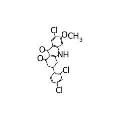 COc1cc2[nH]c3c(c(=O)c2cc1Cl)C(=O)CC(c1ccc(Cl)cc1Cl)C3